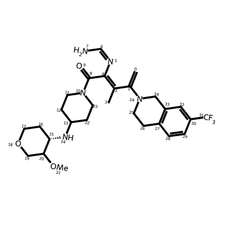 C=C(/C(C)=C(\N=C/N)C(=O)N1CCC(N[C@H]2CCOCC2OC)CC1)N1CCc2ccc(C(F)(F)F)cc2C1